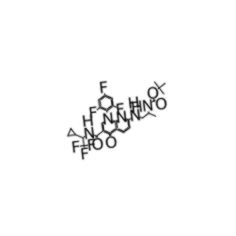 CC(CNc1ccc2c(=O)c(C(=O)NC(C3CC3)C(F)(F)F)cn(-c3c(F)cc(F)cc3F)c2n1)NC(=O)OC(C)(C)C